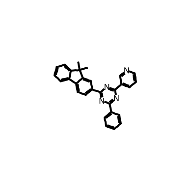 CC1(C)c2ccccc2-c2ccc(-c3nc(-c4ccccc4)nc(-c4cccnc4)n3)cc21